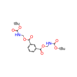 CC(C)(C)OC(=O)NCOC(=O)c1cccc(C(=O)OCNC(=O)OC(C)(C)C)c1